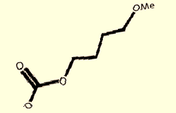 COCCCCOC([O])=O